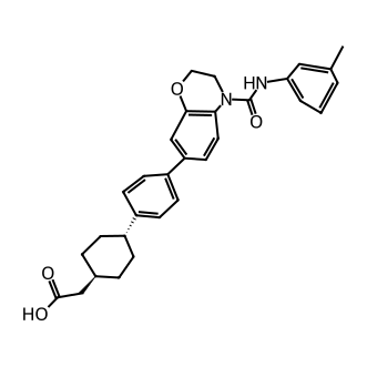 Cc1cccc(NC(=O)N2CCOc3cc(-c4ccc([C@H]5CC[C@H](CC(=O)O)CC5)cc4)ccc32)c1